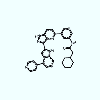 O=C(CC1CCCCC1)Nc1cncc(-c2ccc3[nH]nc(-c4cc5c(-c6ccncc6)cncc5[nH]4)c3n2)c1